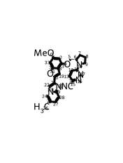 COc1cc(OC[C@@H]2CCCN2c2ccc(C#N)nn2)c2cc(-c3cn4cc(C)ccc4n3)oc2c1